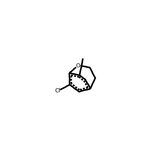 Cc1cc2cc(Cl)c1OCC2